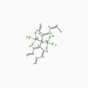 C=C/C=C\C(=C/C=C)C(/C(C=C)=C/C=C\C)(C(F)(F)F)C(F)(F)F